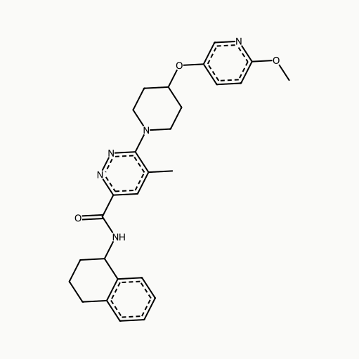 COc1ccc(OC2CCN(c3nnc(C(=O)NC4CCCc5ccccc54)cc3C)CC2)cn1